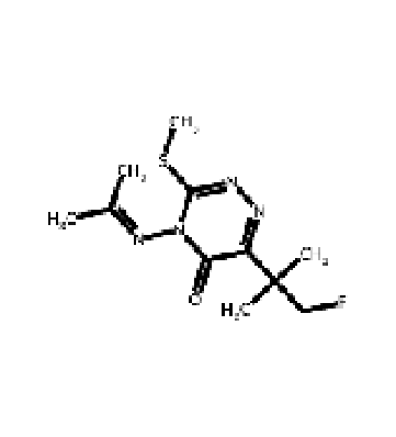 CSc1nnc(C(C)(C)CF)c(=O)n1N=C(C)C